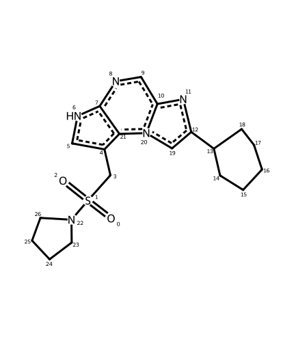 O=S(=O)(Cc1c[nH]c2ncc3nc(C4CCCCC4)cn3c12)N1CCCC1